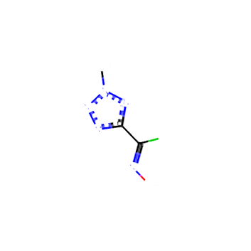 Cn1nnc(C(Cl)=NO)n1